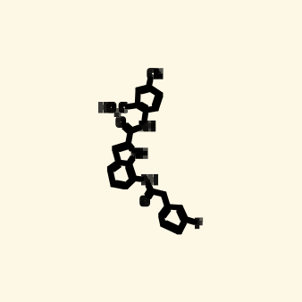 N#Cc1ccc(NC(=O)c2cc3cccc(NC(=O)Cc4cccc(F)c4)c3[nH]2)c(C(=O)O)c1